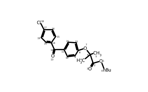 CCCCOC(=O)C(C)(C)Oc1ccc(C(=O)c2ccc(Cl)cc2)cc1